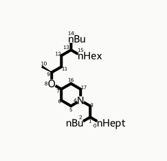 CCCCCCCC(CCCC)CN1CCC(O[C@@H](C)CCC(CCCC)CCCCCC)CC1